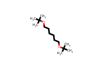 CC(C)(C)OCCCCCCOC(C)(C)C